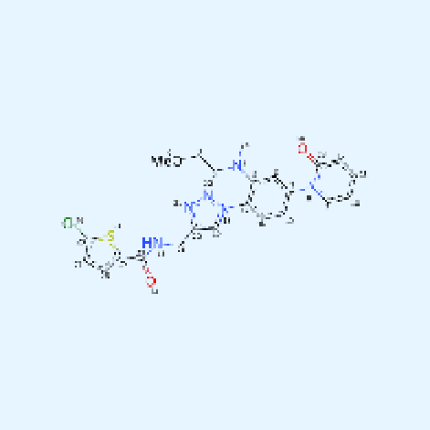 COCCN(C)c1cc(-n2ccccc2=O)ccc1-n1cc(CNC(=O)c2ccc(Cl)s2)nn1